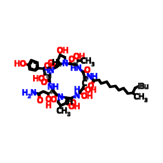 CCC(C)CC(C)CCCCCCCCC(=O)N[C@@H]1CC(O)C(O)NC(=O)[C@@H]2C(O)C(C)CN2C(=O)[C@H](C(O)CC(N)=O)NC(=O)[C@H](C(O)C(O)c2ccc(O)cc2)NC(=O)[C@@H]2CC(O)CN2C(=O)[C@H](C(C)O)NC1=O